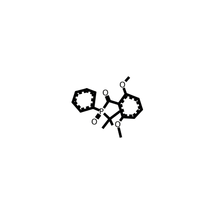 COc1cccc(OC)c1C(=O)P(=O)(c1ccccc1)C(C)(C)C